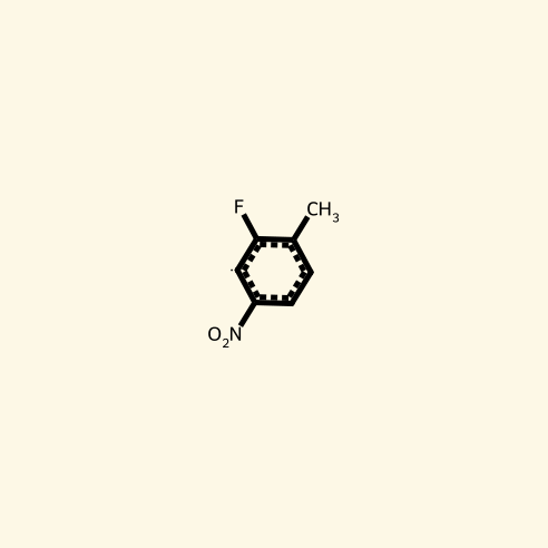 Cc1ccc([N+](=O)[O-])[c]c1F